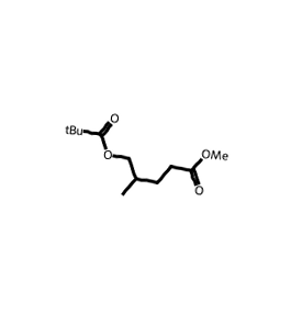 COC(=O)CCC(C)COC(=O)C(C)(C)C